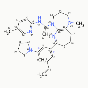 C=CC/C=C(\C=C(/C)N1CCCC1)C1=NC2=C(CCC1)N(C)CCCN2C(=C)Nc1ccc(C)cn1